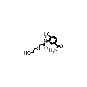 Cc1ccc(C(N)=O)cc1NC(=O)COCCO